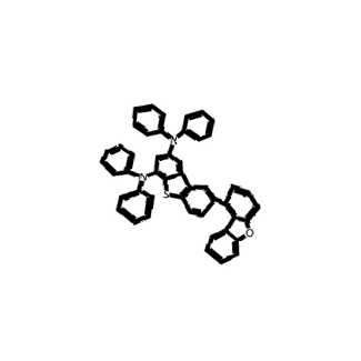 c1ccc(N(c2ccccc2)c2cc(N(c3ccccc3)c3ccccc3)c3sc4ccc(-c5cccc6oc7ccccc7c56)cc4c3c2)cc1